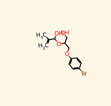 C=C(C)C(O)OC(CO)COc1ccc(Br)cc1